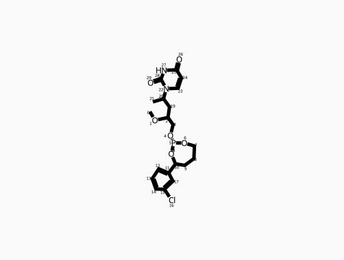 COC(COP1OCCCC(c2cccc(Cl)c2)O1)CC(C)n1ccc(=O)[nH]c1=O